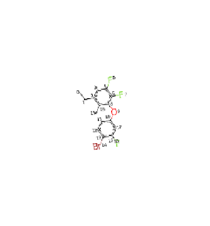 CCc1cc(F)c(F)c(Oc2ccc(Br)c(F)c2)c1C